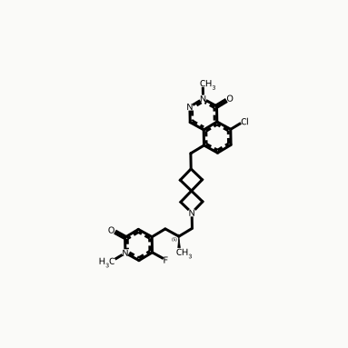 C[C@@H](Cc1cc(=O)n(C)cc1F)CN1CC2(CC(Cc3ccc(Cl)c4c(=O)n(C)ncc34)C2)C1